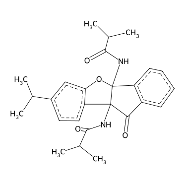 CC(C)C(=O)NC12Oc3cc(C(C)C)ccc3C1(NC(=O)C(C)C)C(=O)c1ccccc12